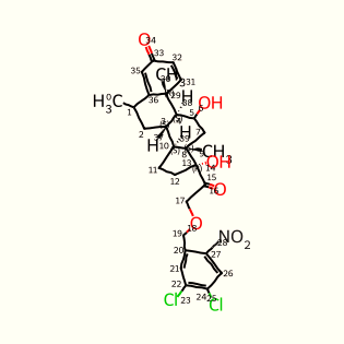 CC1C[C@@H]2[C@H](C(O)C[C@@]3(C)[C@H]2CC[C@]3(O)C(=O)COCc2cc(Cl)c(Cl)cc2[N+](=O)[O-])[C@@]2(C)C=CC(=O)C=C12